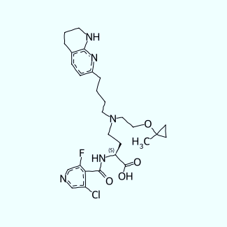 CC1(OCCN(CCCCc2ccc3c(n2)NCCC3)CC[C@H](NC(=O)c2c(F)cncc2Cl)C(=O)O)CC1